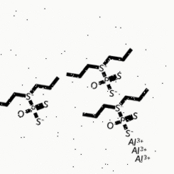 CCC[S-](CCC)P([O-])(=S)[S-].CCC[S-](CCC)P([O-])(=S)[S-].CCC[S-](CCC)P([O-])(=S)[S-].[Al+3].[Al+3].[Al+3]